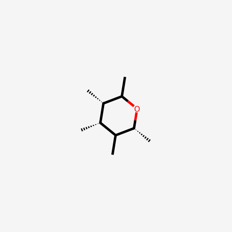 CC1O[C@H](C)C(C)[C@H](C)[C@@H]1C